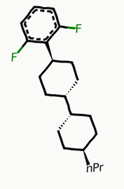 CCC[C@H]1CC[C@H]([C@H]2CC[C@H](c3c(F)cccc3F)CC2)CC1